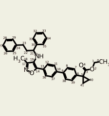 CCOC(=O)C1(c2ccc(-c3ccc(-c4onc(C)c4NC(CCc4ccccc4)c4ccccc4)cc3)cc2)CC1